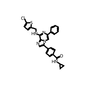 O=C(NC1CC1)c1ccc(-c2cnc3c(NCc4ccc(Cl)s4)nc(-c4ccccc4)cn23)cc1